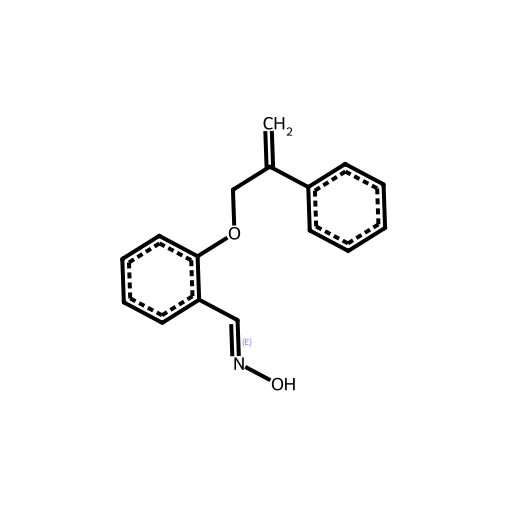 C=C(COc1ccccc1/C=N/O)c1ccccc1